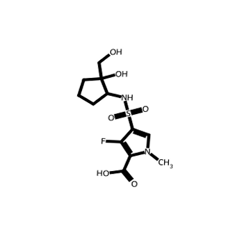 Cn1cc(S(=O)(=O)NC2CCCC2(O)CO)c(F)c1C(=O)O